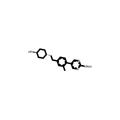 CCCCCCCCCc1ncc(-c2ccc(CC[C@H]3CC[C@H](CCC)CC3)cc2C)cn1